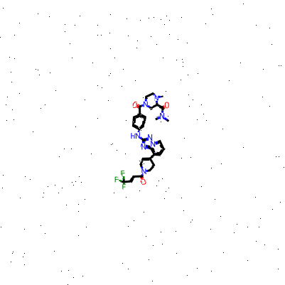 CN(C)C(=O)C1CN(C(=O)c2ccc(Nc3nc4c(C5=CCN(C(=O)CCC(F)(F)F)CC5)cccn4n3)cc2)CCN1C